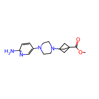 COC(=O)C12CC(N3CCN(c4ccc(N)nc4)CC3)(C1)C2